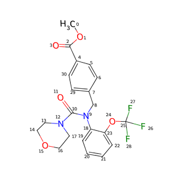 COC(=O)c1ccc(CN(C(=O)N2CCOCC2)c2ccccc2OC(F)(F)F)cc1